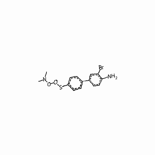 CN(C)OOSc1ccc(-c2ccc(N)c(Br)c2)cc1